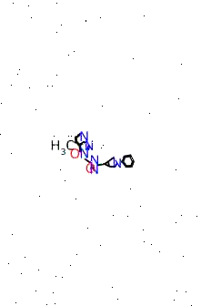 Cc1ccnc2ncn(Cc3nc(C4C5CN(c6ccccc6)CC54)no3)c(=O)c12